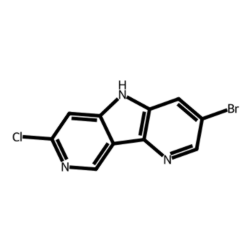 Clc1cc2[nH]c3cc(Br)cnc3c2cn1